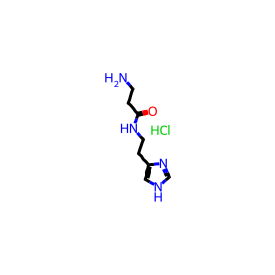 Cl.NCCC(=O)NCCc1c[nH]cn1